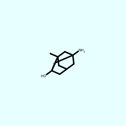 CC12CC3CC(N)(C1)CC(O)(C3)O2